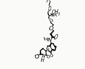 CNC(COCCN)COCCOCCC(=O)Nc1cccc2c1CN(C1CCC(=O)NC1=O)C2=O